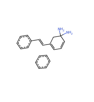 NC1(N)C=CC=C(C=Cc2ccccc2)C1.c1ccccc1